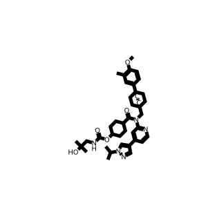 COc1ccc(C23CCC(CN(C(=O)C4CCC(OC(=O)NCC(C)(C)O)CC4)c4cc(-c5cnn(C(C)C)c5)ccn4)(CC2)CC3)cc1C